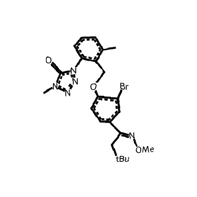 CON=C(CC(C)(C)C)c1ccc(OCc2c(C)cccc2-n2nnn(C)c2=O)c(Br)c1